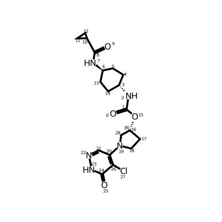 O=C(N[C@H]1CC[C@H](NC(=O)C2CC2)CC1)O[C@@H]1CCN(c2cn[nH]c(=O)c2Cl)C1